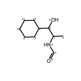 CC(NC=O)C(O)C1CCCCC1